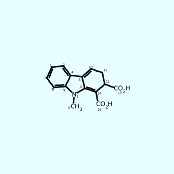 Cn1c2c(c3ccccc31)=CCC(C(=O)O)C=2C(=O)O